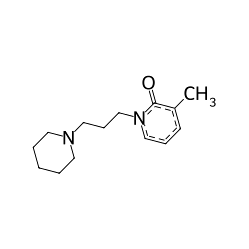 Cc1cccn(CCCN2CCCCC2)c1=O